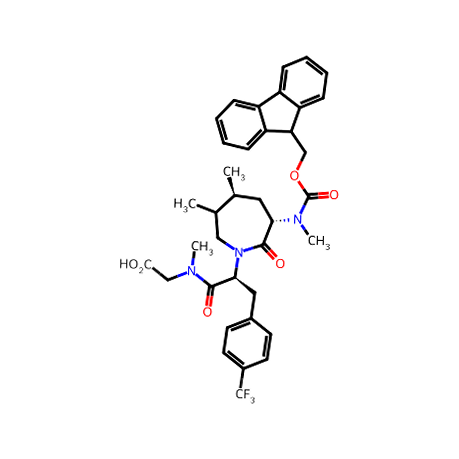 CC1CN([C@@H](Cc2ccc(C(F)(F)F)cc2)C(=O)N(C)CC(=O)O)C(=O)[C@@H](N(C)C(=O)OCC2c3ccccc3-c3ccccc32)C[C@@H]1C